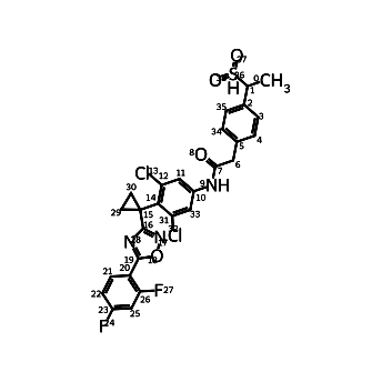 CC(c1ccc(CC(=O)Nc2cc(Cl)c(C3(c4noc(-c5ccc(F)cc5F)n4)CC3)c(Cl)c2)cc1)[SH](=O)=O